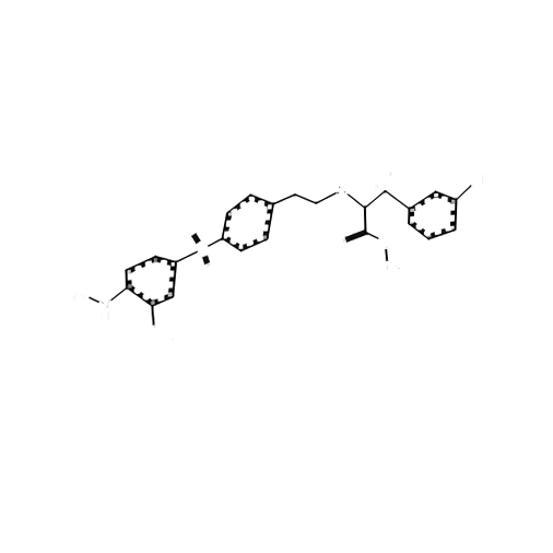 CCCNc1ccc(S(=O)(=O)c2ccc(CCNC(C(=O)OC(C)(C)C)[C@H](O)c3cccc(Cl)c3)cc2)cc1C(=O)OCC